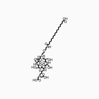 CN[C@@H](CO)C(=O)N[C@@H](CO)C(=O)N[C@@H](CCCCN(CC(=O)O)CC(=O)O)C(=O)N[C@@H](CO)C(=O)N[C@@H](CO)C(=O)NCCOCCOCCNC(=O)CCCCCCCCCCCCCCCCC(=O)O